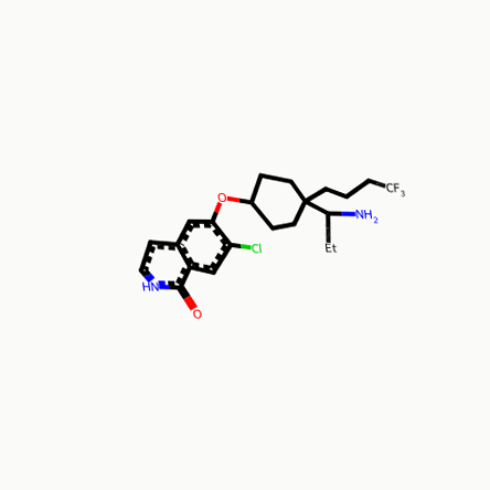 CCC(N)C1(CCCC(F)(F)F)CCC(Oc2cc3cc[nH]c(=O)c3cc2Cl)CC1